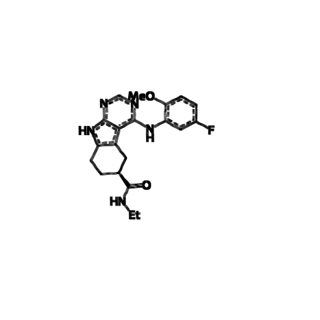 CCNC(=O)[C@H]1CCc2[nH]c3ncnc(Nc4cc(F)ccc4OC)c3c2C1